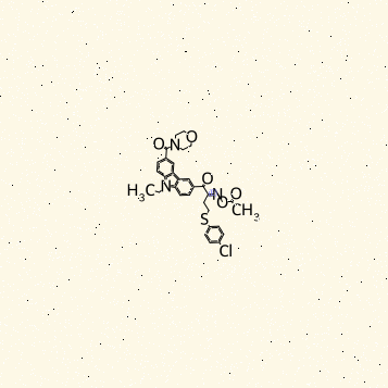 CCn1c2ccc(C(=O)/C(CCSc3ccc(Cl)cc3)=N/OC(C)=O)cc2c2cc(C(=O)N3CCOCC3)ccc21